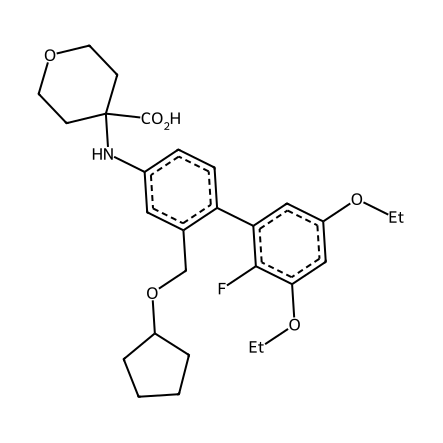 CCOc1cc(OCC)c(F)c(-c2ccc(NC3(C(=O)O)CCOCC3)cc2COC2CCCC2)c1